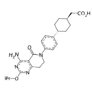 CC(C)Oc1nc(N)c2c(n1)CCN(c1ccc([C@H]3CC[C@H](CC(=O)O)CC3)cc1)C2=O